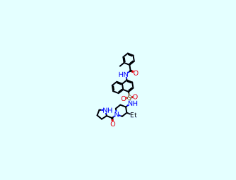 CCC1CN(C(=O)C2CCCN2)CCC1NS(=O)(=O)c1ccc(NC(=O)c2ccccc2C)c2ccccc12